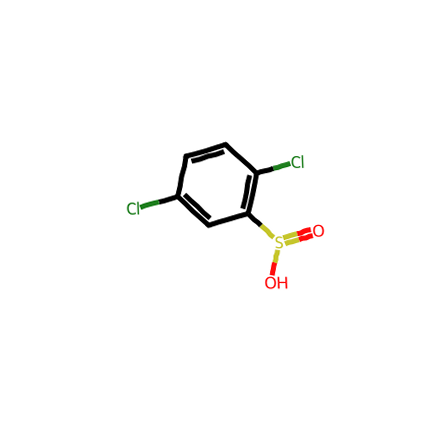 O=S(O)c1cc(Cl)ccc1Cl